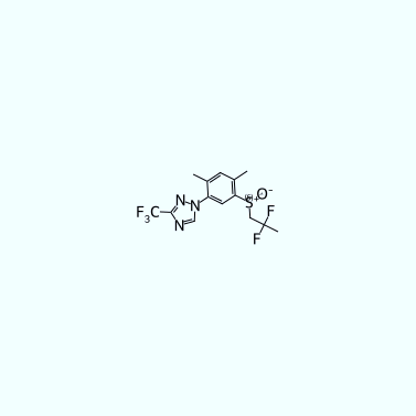 Cc1cc(C)c([S@+]([O-])CC(C)(F)F)cc1-n1cnc(C(F)(F)F)n1